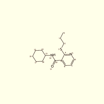 CCCSc1ncccc1C(=O)NC1CCCCC1